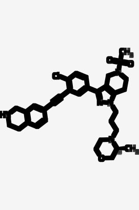 C[C@H]1COCCN1CCCn1nc(-c2ccc(Cl)c(C#Cc3ccc4c(c3)CNCC4)c2)c2c1CCN(S(C)(=O)=O)C2